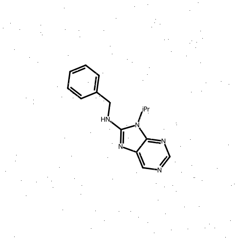 CC(C)n1c(NCc2ccccc2)nc2cncnc21